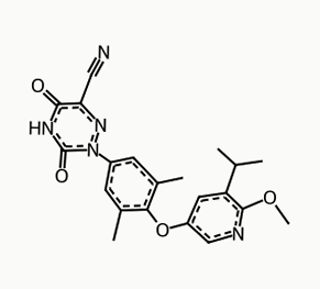 COc1ncc(Oc2c(C)cc(-n3nc(C#N)c(=O)[nH]c3=O)cc2C)cc1C(C)C